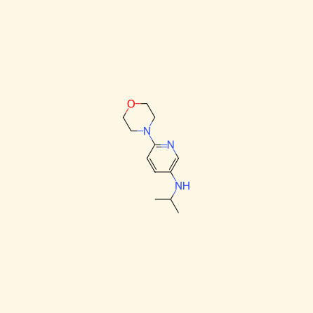 CC(C)Nc1ccc(N2CCOCC2)nc1